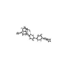 CCCCCCCc1ccc(-c2ccc(Nc3c(Br)cnn3C)cc2)cc1